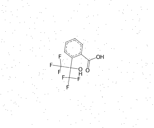 O=C(O)c1ccccc1C(O)(C(F)(F)F)C(F)(F)F